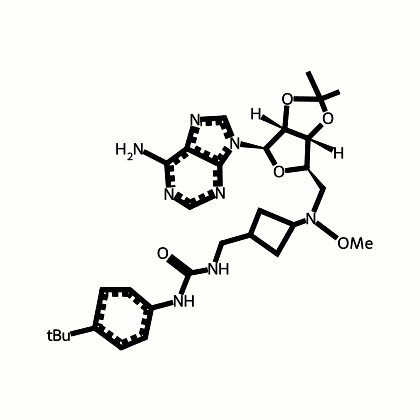 CON(C[C@H]1O[C@@H](n2cnc3c(N)ncnc32)[C@@H]2OC(C)(C)O[C@@H]21)C1CC(CNC(=O)Nc2ccc(C(C)(C)C)cc2)C1